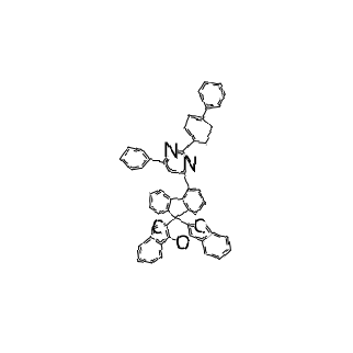 C1=C(c2ccccc2)CCC(c2nc(-c3ccccc3)cc(-c3cccc4c3-c3ccccc3C43c4ccc5ccccc5c4Oc4c3ccc3ccccc43)n2)=C1